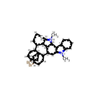 Cn1c2ccccc2c2c1cc(-c1ccc(Br)cc1)c1c3c(-c4ccc(Br)cc4)cccc3n(C)c12